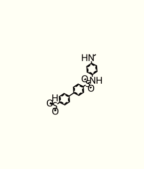 CNc1ccc(NS(=O)(=O)c2ccc(-c3ccc([SH](=O)=O)cc3)cc2)cc1